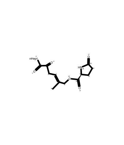 CCCCCCCC(=O)C(=O)CC=C(C)COC(=O)[C@@H]1CCC(=O)N1